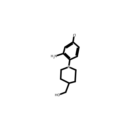 Nc1cc(Cl)ccc1N1CCC(CO)CC1